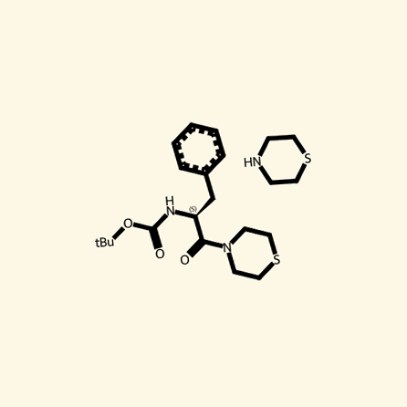 C1CSCCN1.CC(C)(C)OC(=O)N[C@@H](Cc1ccccc1)C(=O)N1CCSCC1